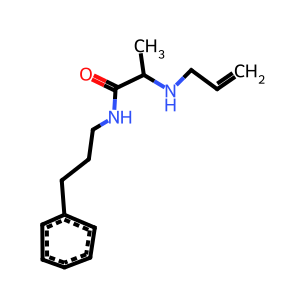 C=CCNC(C)C(=O)NCCCc1ccccc1